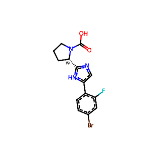 O=C(O)N1CCC[C@H]1c1ncc(-c2ccc(Br)cc2F)[nH]1